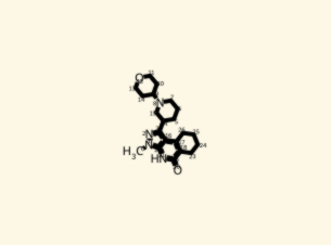 Cn1nc(C2CCCN(C3CCOCC3)C2)c2c3c(c(=O)[nH]c21)CCCC3